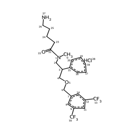 CN(CC(COCc1cc(C(F)(F)F)cc(C(F)(F)F)c1)c1ccccc1)C(=O)CCCCN.Cl